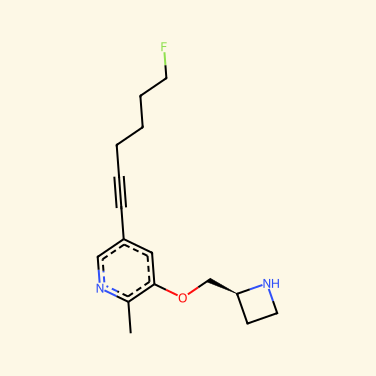 Cc1ncc(C#CCCCCF)cc1OC[C@@H]1CCN1